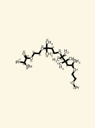 CC(C)OCCOC(C)CC(C)(C)C(C)(C)OCCC(C)(C)OCCOC(=O)C(C(C)C)C(C)(C)C